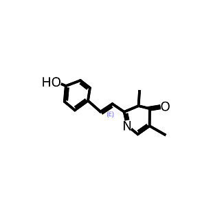 CC1=CN=C(/C=C/c2ccc(O)cc2)C(C)C1=O